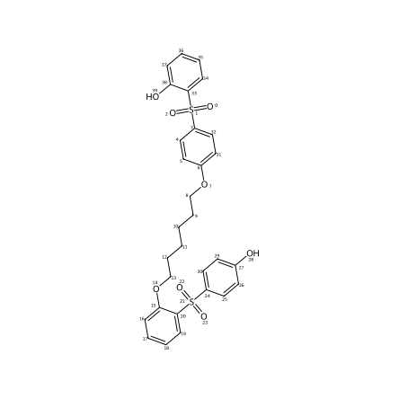 O=S(=O)(c1ccc(OCCCCCCOc2ccccc2S(=O)(=O)c2ccc(O)cc2)cc1)c1ccccc1O